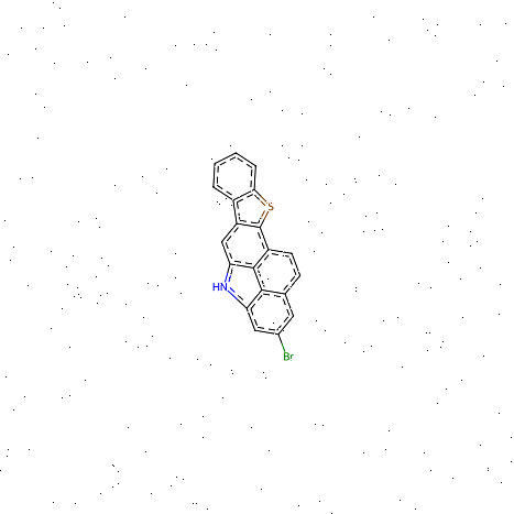 Brc1cc2ccc3c4sc5ccccc5c4cc4[nH]c(c1)c2c43